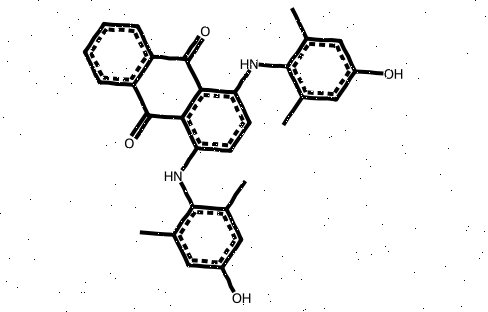 Cc1cc(O)cc(C)c1Nc1ccc(Nc2c(C)cc(O)cc2C)c2c1C(=O)c1ccccc1C2=O